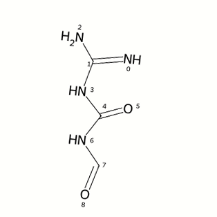 N=C(N)NC(=O)NC=O